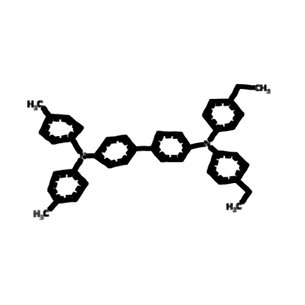 CCc1ccc(N(c2ccc(CC)cc2)c2ccc(-c3ccc(N(c4ccc(C)cc4)c4ccc(C)cc4)cc3)cc2)cc1